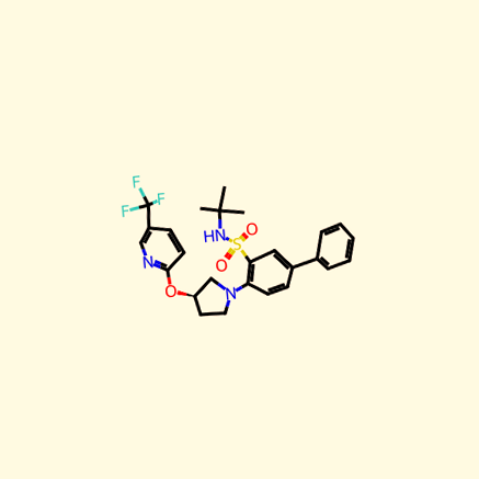 CC(C)(C)NS(=O)(=O)c1cc(-c2ccccc2)ccc1N1CC[C@@H](Oc2ccc(C(F)(F)F)cn2)C1